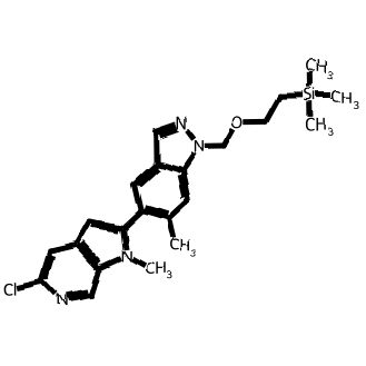 Cc1cc2c(cnn2COCC[Si](C)(C)C)cc1-c1cc2cc(Cl)ncc2n1C